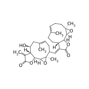 C=C1C(=O)O[C@H]2[C@H]1[C@@H](O)C/C(C)=C/CC(/C=C1/C(=O)O[C@H]3[C@H]1CC/C(C)=C/CC[C@@]1(C)O[C@@H]31)[C@@]1(C)O[C@@H]21